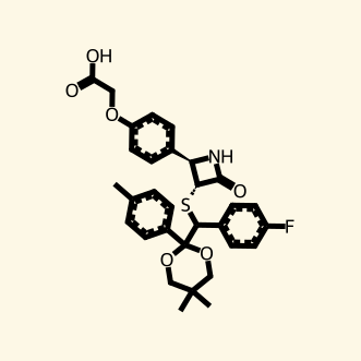 Cc1ccc(C2(C(S[C@H]3C(=O)N[C@@H]3c3ccc(OCC(=O)O)cc3)c3ccc(F)cc3)OCC(C)(C)CO2)cc1